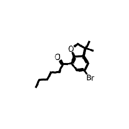 CCCCCC(=O)c1cc(Br)cc2c1OCC2(C)C